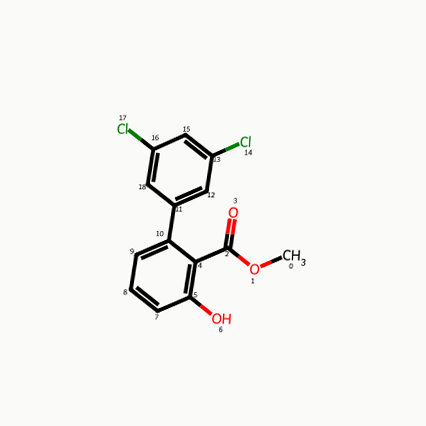 COC(=O)c1c(O)cccc1-c1cc(Cl)cc(Cl)c1